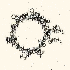 CCCC[C@H]1C(=O)N(C)[C@@H](CCCC)C(=O)N[C@@H](CCCNC(=N)N)C(=O)N[C@H](C(=O)NCC(N)=O)CSCC(=O)N[C@@H](Cc2cccc(F)c2)C(=O)N(C)[C@@H](C)C(=O)N[C@@H](CC(N)=O)C(=O)N2CCC[C@H]2C(=O)N[C@@H](Cc2cnc[nH]2)C(=O)N[C@@H](CC(C)C)C(=O)N2CCC[C@H]2C(=O)N[C@@H](Cc2c[nH]c3ccccc23)C(=O)N[C@@H](CO)C(=O)N[C@@H](Cc2c[nH]c3ccccc23)C(=O)N1C